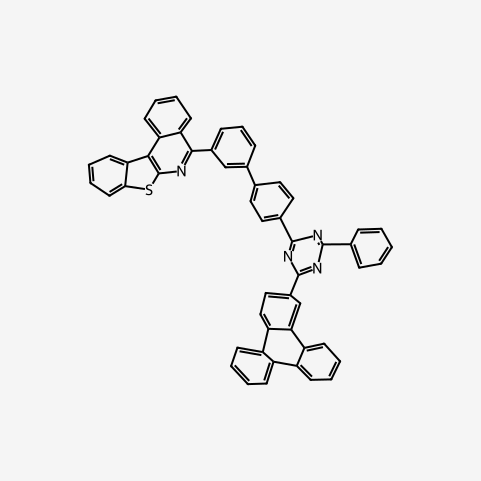 c1ccc(-c2nc(-c3ccc(-c4cccc(-c5nc6sc7ccccc7c6c6ccccc56)c4)cc3)nc(-c3ccc4c5ccccc5c5ccccc5c4c3)n2)cc1